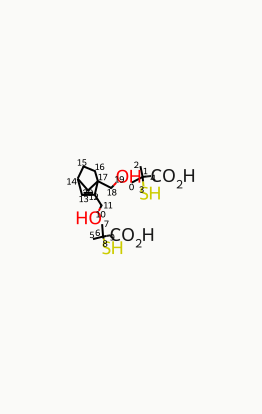 CC(C)(S)C(=O)O.CC(C)(S)C(=O)O.OCC1=CC2CCC1(CO)C2